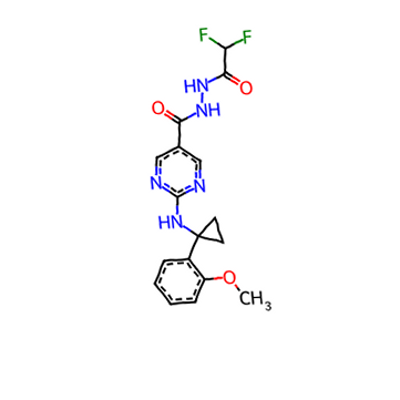 COc1ccccc1C1(Nc2ncc(C(=O)NNC(=O)C(F)F)cn2)CC1